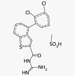 CS(=O)(=O)O.N=C(N)NC(=O)c1cc2c(-c3cccc(Cl)c3Cl)cccc2s1